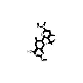 CPN(C)c1cc(C)c(C(F)(F)F)c(C2Cc3nc(SC)nc(O)c3CC2C)n1